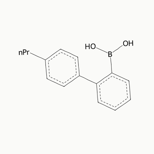 CCCc1ccc(-c2ccccc2B(O)O)cc1